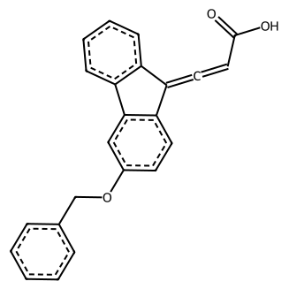 O=C(O)C=C=C1c2ccccc2-c2cc(OCc3ccccc3)ccc21